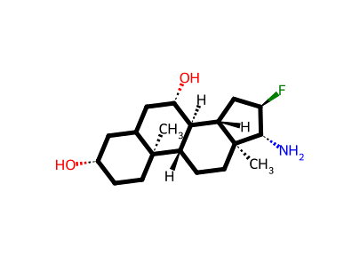 C[C@]12CC[C@H]3[C@@H]([C@@H](O)CC4C[C@@H](O)CC[C@@]43C)[C@@H]1C[C@@H](F)[C@@H]2N